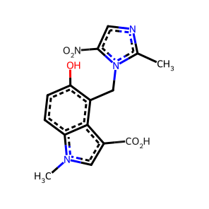 Cc1ncc([N+](=O)[O-])n1Cc1c(O)ccc2c1c(C(=O)O)cn2C